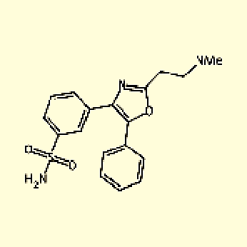 CNCCc1nc(-c2cccc(S(N)(=O)=O)c2)c(-c2ccccc2)o1